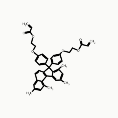 C=CC(=O)OCCOc1ccc(C2(c3ccc(OCCOC(=O)C=C)cc3)c3ccc4cc(C)cc(C)c4c3-c3cc(C)cc(C)c32)cc1